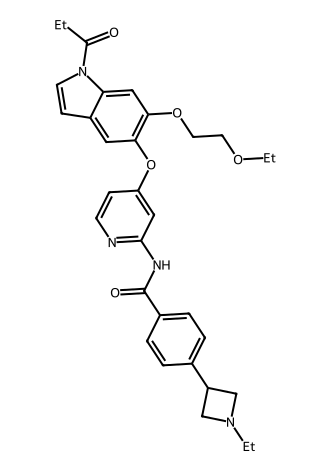 CCOCCOc1cc2c(ccn2C(=O)CC)cc1Oc1ccnc(NC(=O)c2ccc(C3CN(CC)C3)cc2)c1